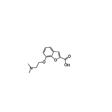 CN(C)CCOc1cccc2cc(C(=O)O)oc12